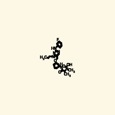 CCCNc1nc(Nc2cccc(F)c2)ncc1COc1cccc(NC(=O)C(C)N(C)C(=O)O)c1